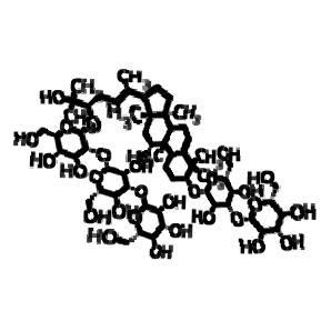 C[C@H](CC[C@@H](O[C@@H]1O[C@H](CO)[C@@H](O)[C@H](O)[C@H]1O[C@H]1O[C@@H](CO)[C@H](O)[C@@H](OC2O[C@@H](CO)[C@H](O)[C@@H](O)[C@@H]2O)[C@@H]1O)C(C)(C)O)C1CC[C@@]2(C)C3CC=C4C(CC[C@H](O[C@@H]5O[C@H](CO)[C@@H](O)[C@H](O[C@@H]6O[C@H](CO)[C@@H](O)[C@H](O)[C@H]6O)[C@H]5O)C4(C)C)[C@]3(C)[C@H](O)C[C@]12C